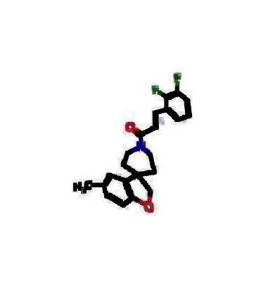 Cc1ccc2c(c1)C1(CCN(C(=O)/C=C/c3cccc(F)c3F)CC1)CO2